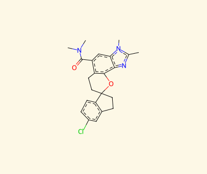 Cc1nc2c3c(c(C(=O)N(C)C)cc2n1C)CCC1(CCc2cc(Cl)ccc21)O3